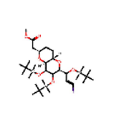 COC(=O)C[C@H]1CC[C@@H]2O[C@@H](C(/C=C/I)O[Si](C)(C)C(C)(C)C)C(O[Si](C)(C)C(C)(C)C)C(O[Si](C)(C)C(C)(C)C)[C@H]2O1